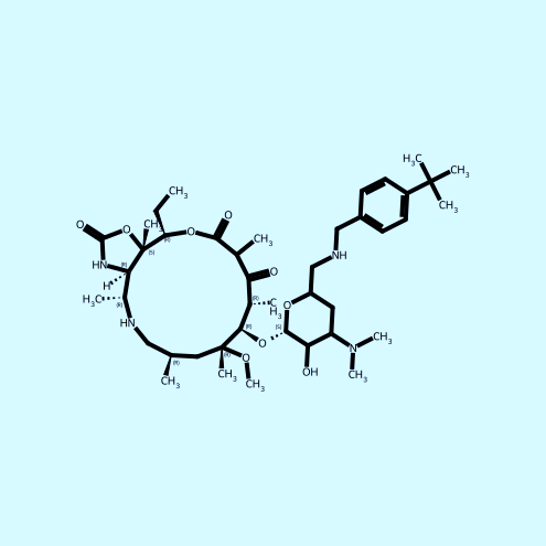 CC[C@H]1OC(=O)C(C)C(=O)[C@H](C)[C@@H](O[C@@H]2OC(CNCc3ccc(C(C)(C)C)cc3)CC(N(C)C)C2O)[C@](C)(OC)C[C@@H](C)CN[C@H](C)[C@H]2NC(=O)O[C@@]21C